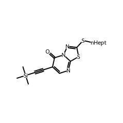 CCCCCCCSc1nn2c(=O)c(C#C[Si](C)(C)C)cnc2s1